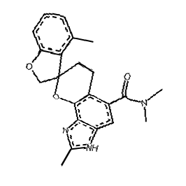 Cc1nc2c3c(c(C(=O)N(C)C)cc2[nH]1)CCC1(COc2cccc(C)c21)O3